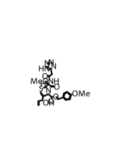 C=CC(O)C1=CS[C@@H]2N(C(=O)C2(NC(=O)Cc2nnn[nH]2)OC)C1C(=O)OCc1ccc(OC)cc1